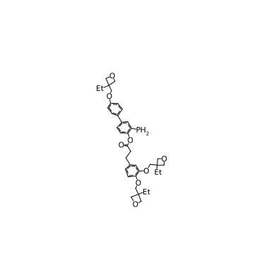 CCC1(COc2ccc(-c3ccc(OC(=O)CCc4ccc(OCC5(CC)COC5)c(OCC5(CC)COC5)c4)c(P)c3)cc2)COC1